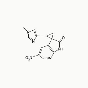 Cn1cnc(C2CC23C(=O)Nc2ccc([N+](=O)[O-])cc23)c1